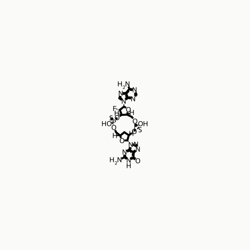 Nc1nc2c(nnn2[C@@H]2O[C@@H]3COP(O)(=S)O[C@H]4[C@H](F)[C@H](n5cnc6c(N)ncnc65)O[C@@H]4COP(O)(=S)O[C@@H]2C3)c(=O)[nH]1